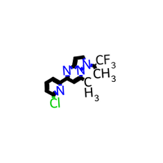 CC1=CC(c2cccc(Cl)n2)=NC2=CCN([C@@H](C)C(F)(F)F)N12